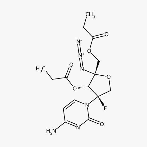 CCC(=O)OC[C@@]1(N=[N+]=[N-])OC[C@](F)(n2ccc(N)nc2=O)[C@@H]1OC(=O)CC